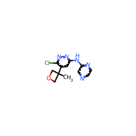 CC1(c2cc(Nc3cnccn3)nnc2Cl)COC1